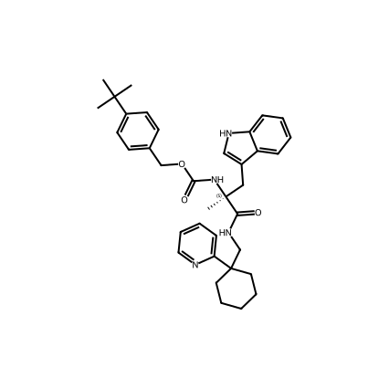 CC(C)(C)c1ccc(COC(=O)N[C@@](C)(Cc2c[nH]c3ccccc23)C(=O)NCC2(c3ccccn3)CCCCC2)cc1